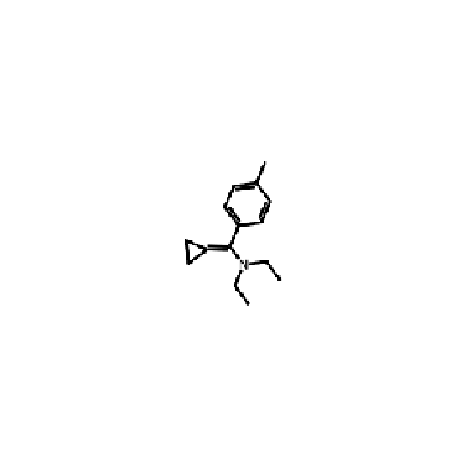 CCN(CC)C(=C1CC1)c1ccc(C)cc1